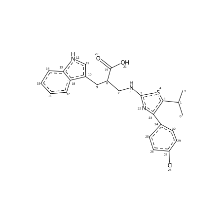 CC(C)c1sc(NCC(Cc2c[nH]c3ccccc23)C(=O)O)nc1-c1ccc(Cl)cc1